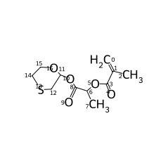 C=C(C)C(=O)OC(C)C(=O)OC1CSCCO1